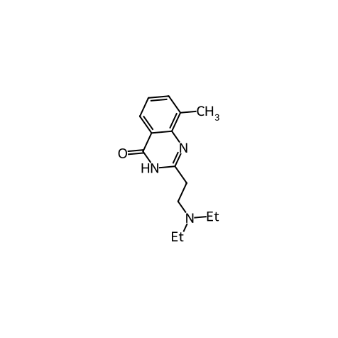 CCN(CC)CCc1nc2c(C)cccc2c(=O)[nH]1